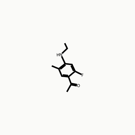 CCNc1cc(F)c(C(C)=O)cc1C